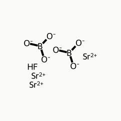 F.[O-]B([O-])[O-].[O-]B([O-])[O-].[Sr+2].[Sr+2].[Sr+2]